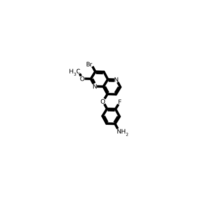 COc1nc2c(Oc3ccc(N)cc3F)ccnc2cc1Br